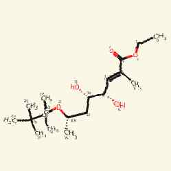 CCOC(=O)/C(C)=C/[C@H](O)[C@@H](O)C[C@H](C)O[Si](C)(C)C(C)(C)C